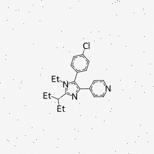 CCC(CC)c1nc(-c2ccncc2)c(-c2ccc(Cl)cc2)n1CC